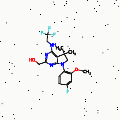 COc1cc(F)ccc1N1CC(C)(C)c2c(NCC(F)(F)F)nc(CO)nc21